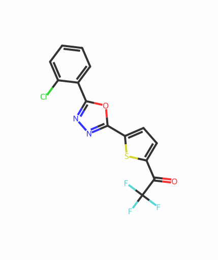 O=C(c1ccc(-c2nnc(-c3ccccc3Cl)o2)s1)C(F)(F)F